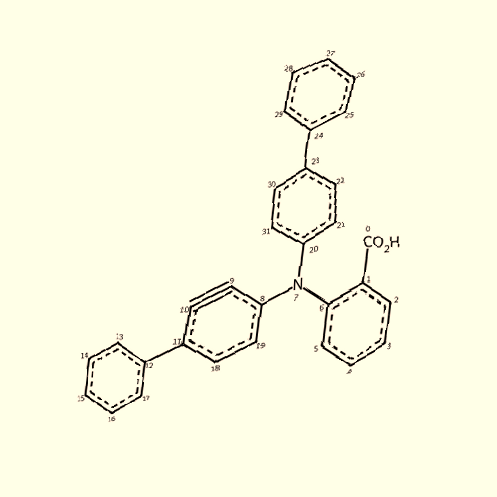 O=C(O)c1ccccc1N(c1c#cc(-c2ccccc2)cc1)c1ccc(-c2ccccc2)cc1